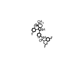 CN1CCc2[nH]c(-c3ccnc(NC(=O)C(CC(F)F)c4ccc(F)cc4)c3)c(-c3cc(F)ccc3C#N)c2C1=O